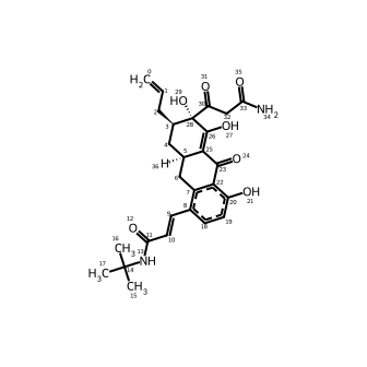 C=CC[C@@H]1C[C@@H]2Cc3c(/C=C/C(=O)NC(C)(C)C)ccc(O)c3C(=O)C2=C(O)[C@]1(O)C(=O)CC(N)=O